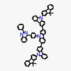 CC1(C)c2ccccc2-c2ccc(-n3c4ccccc4c4cc(-c5ccc6c7ccc(-c8ccc9c(c8)c8ccccc8n9-c8ccc9c(c8)C(C)(C)c8ccccc8-9)cc7n(-c7ccc(-c8nc(-c9ccccc9)nc9ccccc89)cc7)c6c5)ccc43)cc21